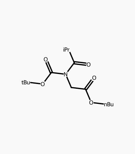 CCCCOC(=O)CN(C(=O)OC(C)(C)C)C(=O)C(C)C